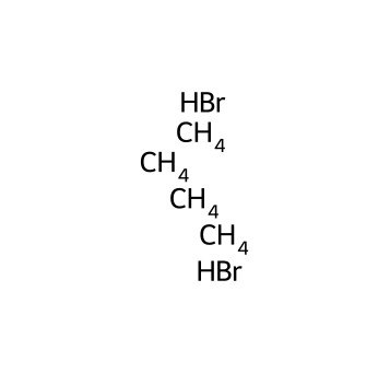 Br.Br.C.C.C.C